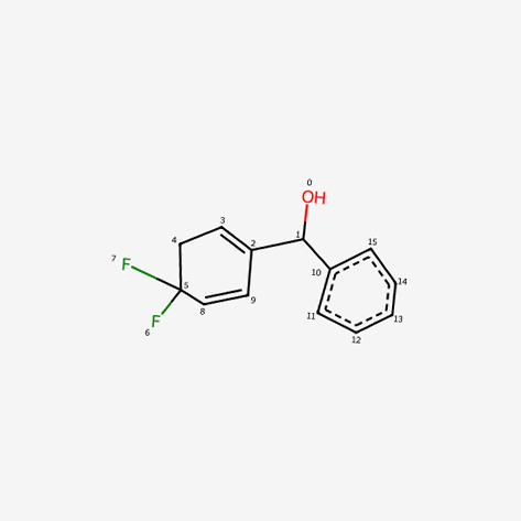 OC(C1=CCC(F)(F)C=C1)c1ccccc1